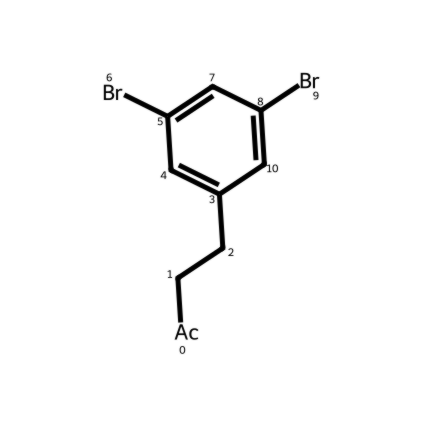 CC(=O)CCc1cc(Br)cc(Br)c1